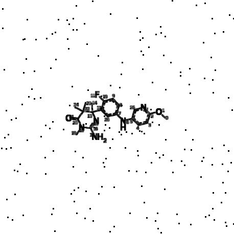 COc1ccc(Nc2ccc(F)c(C3(C)N=C(N)N(C)C(=O)C3(C)C)c2)cn1